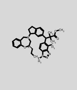 CCC[C@@H]1CN(C2CCc3ccc(C(c4ccc5c(nnn5C)c4C)C(C)(C)C(=O)OC)cc32)Cc2ccccc2O1